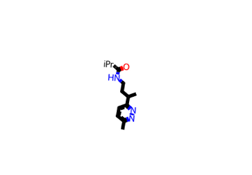 Cc1ccc(C(C)CCNC(=O)C(C)C)nn1